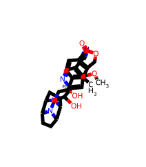 COc1cc(C(O)CN2C3CCC2C2CCC3N2C[C@H](O)c2ccc3c(c2C)COC3=O)ncc1C#N